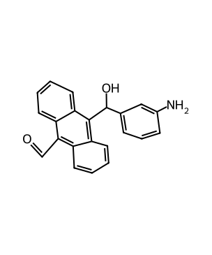 Nc1cccc(C(O)c2c3ccccc3c(C=O)c3ccccc23)c1